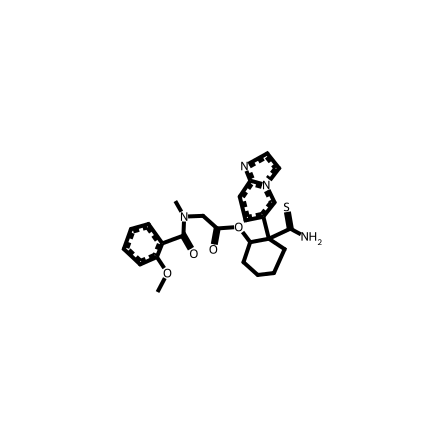 COc1ccccc1C(=O)N(C)CC(=O)OC1CCCCC1(C(N)=S)c1ccc2nccn2c1